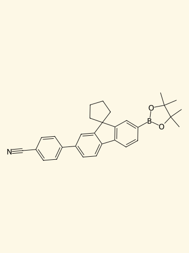 CC1(C)OB(c2ccc3c(c2)C2(CCCC2)c2cc(-c4ccc(C#N)cc4)ccc2-3)OC1(C)C